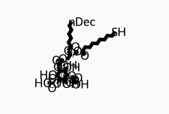 CCCCCCCCCCCCCCCC(=O)O[C@H](COC(=O)CCCCCCCCS)COP(=O)(O)OC1C(O)[C@@H](OP(=O)(O)O)C(O)[C@@H](OP(=O)(O)O)[C@H]1O